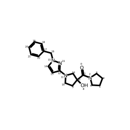 O=C(N1CCCC1)C1(O)CCN(c2ccn(Cc3ccccc3)n2)C1